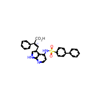 O=C(O)/C(=C/c1c[nH]c2nccc(NS(=O)(=O)c3ccc(-c4ccccc4)cc3)c12)c1ccccc1